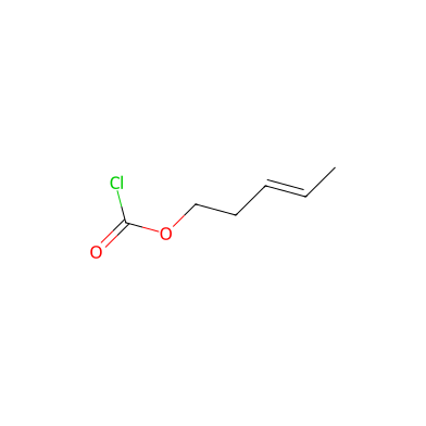 CC=CCCOC(=O)Cl